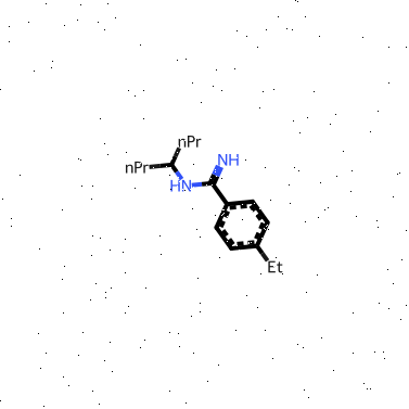 CCCC(CCC)NC(=N)c1ccc(CC)cc1